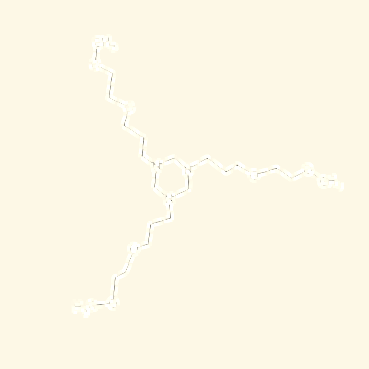 COCCOCCCN1CN(CCCOCCOC)CN(CCCOCCOC)C1